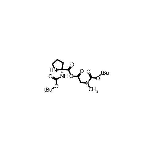 CN(CC(=O)OC(=O)[C@]1(NC(=O)OC(C)(C)C)CCCN1)C(=O)OC(C)(C)C